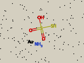 N.O=S(=O)(O)S.[Au]